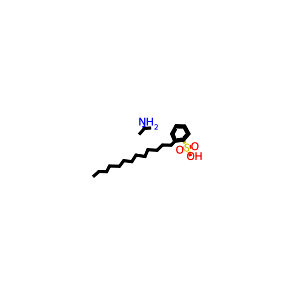 CC(C)N.CCCCCCCCCCCCCc1ccccc1S(=O)(=O)O